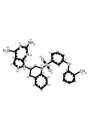 Cc1ccccc1Oc1cccc(S(=O)(=O)N2CC(n3ncc4c(N)nc(N)nc43)Cc3ccccc32)c1